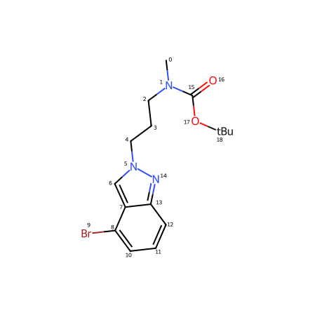 CN(CCCn1cc2c(Br)cccc2n1)C(=O)OC(C)(C)C